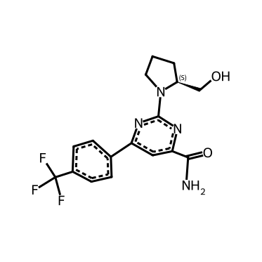 NC(=O)c1cc(-c2ccc(C(F)(F)F)cc2)nc(N2CCC[C@H]2CO)n1